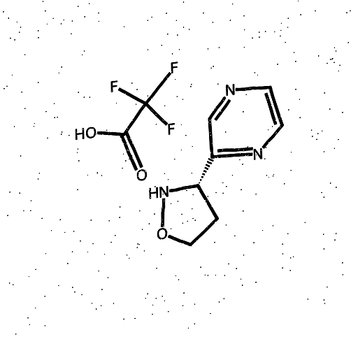 O=C(O)C(F)(F)F.c1cnc([C@@H]2CCON2)cn1